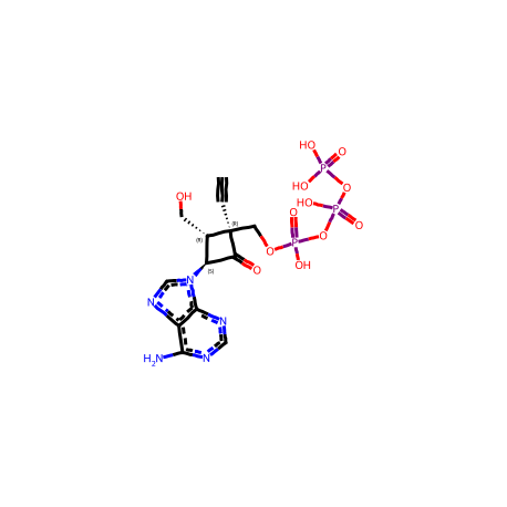 C#C[C@]1(COP(=O)(O)OP(=O)(O)OP(=O)(O)O)C(=O)[C@@H](n2cnc3c(N)ncnc32)[C@@H]1CO